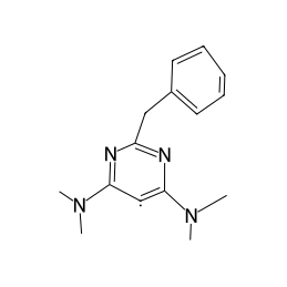 CN(C)c1[c]c(N(C)C)nc(Cc2ccccc2)n1